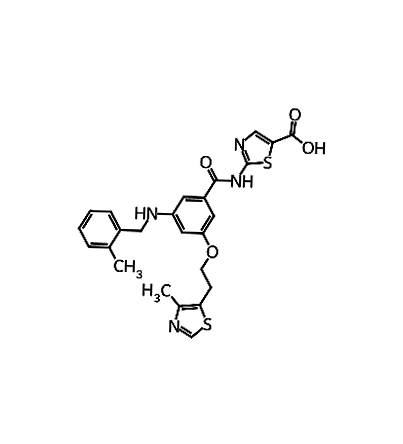 Cc1ccccc1CNc1cc(OCCc2scnc2C)cc(C(=O)Nc2ncc(C(=O)O)s2)c1